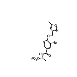 Cc1cc(COc2ccc(C(=O)N[C@@H](C)C(=O)O)cc2Br)no1